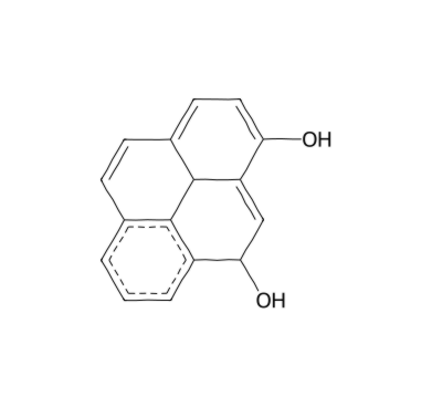 OC1=CC=C2C=Cc3cccc4c3C2C1=CC4O